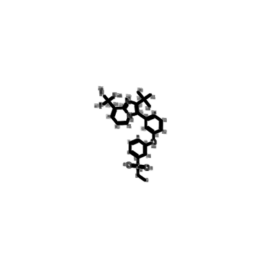 CCS(=O)(=O)c1cccc(Oc2cccc(-c3c(C(C)(C)C)nc4c(C(F)(F)F)cccn34)c2)c1